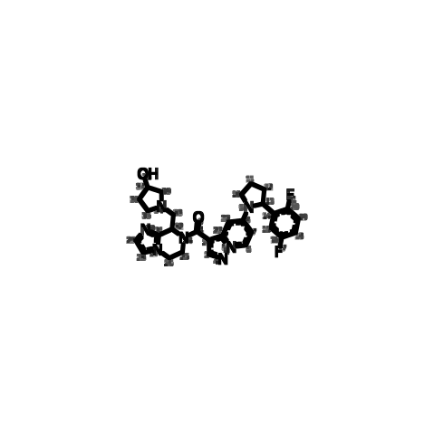 O=C(c1cnn2ccc(N3CCCC3c3cc(F)ccc3F)cc12)N1CCn2ccnc2C1CN1CCC(O)C1